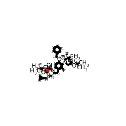 CC(C)(C)OC(=O)CN(C(=O)C(F)(F)F)c1c(OCc2ccccc2)cc2c(c1F)C[C@H](CN(CC1CC1)C(=O)OC(C)(C)C)N2C(=O)O